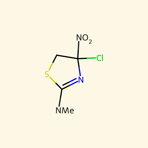 CNC1=NC(Cl)([N+](=O)[O-])CS1